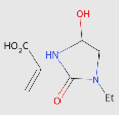 C=CC(=O)O.CCN1CC(O)NC1=O